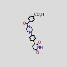 O=C1CCC(c2ccc(N3CCN(C(=O)c4ccc(C(=O)O)cc4)CC3)cc2)C(=O)N1